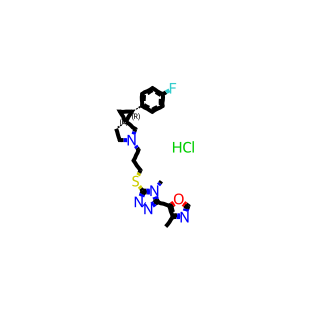 Cc1ncoc1-c1nnc(SCCCN2CC[C@@]3(C[C@@H]3c3ccc(F)cc3)C2)n1C.Cl